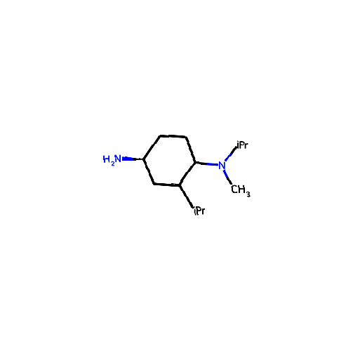 CC(C)C1C[C@@H](N)CCC1N(C)C(C)C